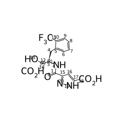 O=C(N[C@H](Cc1ccccc1C(F)(F)F)[C@@H](O)C(=O)O)c1cc(C(=O)O)[nH]n1